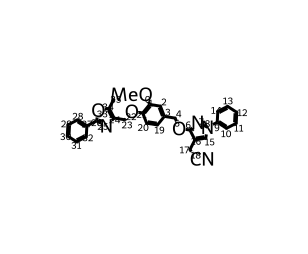 COc1cc(COc2nn(-c3ccccc3)cc2CC#N)ccc1OCc1nc(-c2ccccc2)oc1C